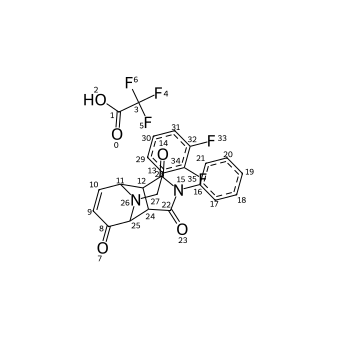 O=C(O)C(F)(F)F.O=C1C=CC2C3C(=O)N(c4ccccc4)C(=O)C3C1N2Cc1cccc(F)c1F